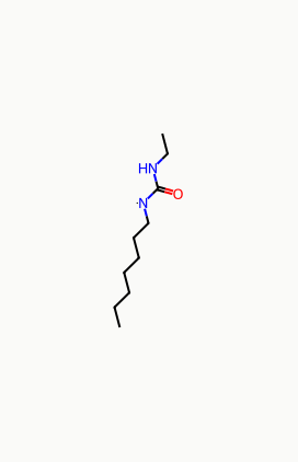 CCCCCCC[N]C(=O)NCC